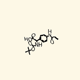 C=CC(=O)Nc1ccc(C(NC(=O)OC(C)(C)C)C(=O)O)cc1